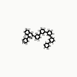 c1ccc(-c2cccc(-c3cccc(-c4cccc(-c5cccc(-c6cc7ccccc7c(-c7ccncc7)n6)c5)c4)c3)c2)cc1